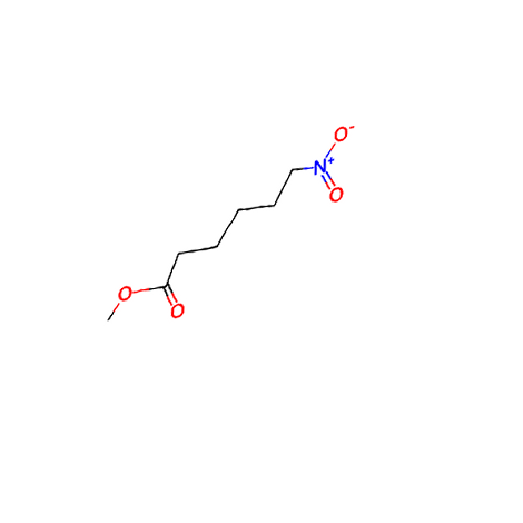 COC(=O)CCCCC[N+](=O)[O-]